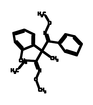 CCC(=NOC)C(C)(C(=NOC)c1ccccc1)c1ccccc1C